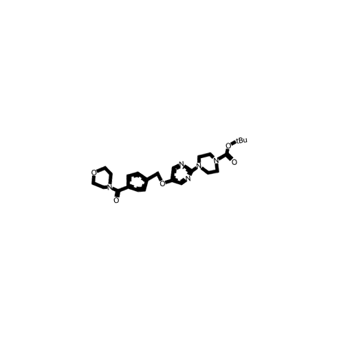 CC(C)(C)OC(=O)N1CCN(c2ncc(OCc3ccc(C(=O)N4CCOCC4)cc3)cn2)CC1